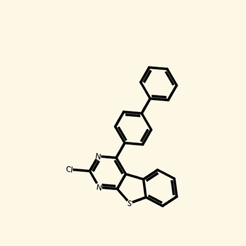 Clc1nc(-c2ccc(-c3ccccc3)cc2)c2c(n1)sc1ccccc12